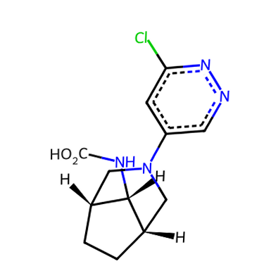 O=C(O)N[C@H]1[C@@H]2CC[C@H]1CN(c1cnnc(Cl)c1)C2